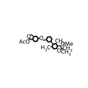 COC1c2c(cc(C)c(-c3cccc(COc4ccc5c(c4)CO[C@H]5OC(C)=O)c3)c2C)OC1(C)C